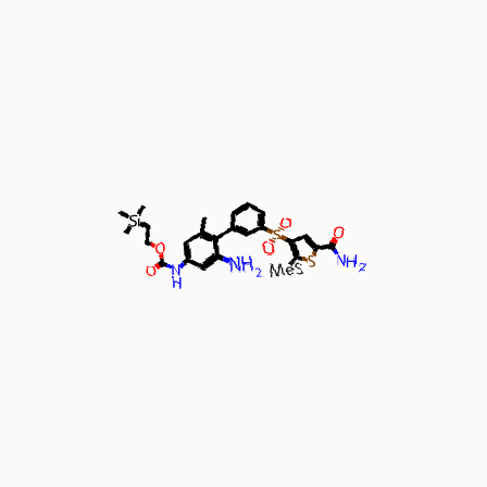 CSc1sc(C(N)=O)cc1S(=O)(=O)c1cccc(-c2c(C)cc(NC(=O)OCC[Si](C)(C)C)cc2N)c1